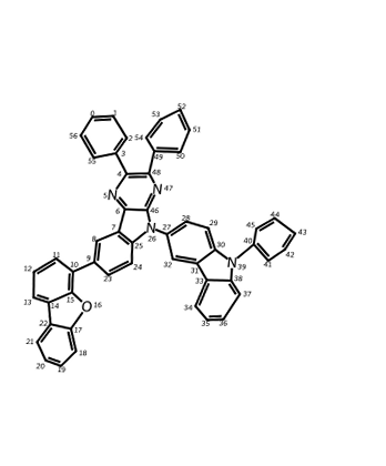 c1ccc(-c2nc3c4cc(-c5cccc6c5oc5ccccc56)ccc4n(-c4ccc5c(c4)c4ccccc4n5-c4ccccc4)c3nc2-c2ccccc2)cc1